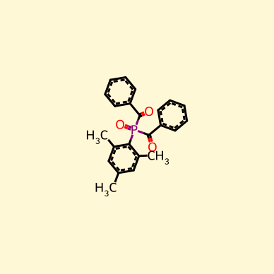 Cc1cc(C)c(P(=O)(C(=O)c2ccccc2)C(=O)c2ccccc2)c(C)c1